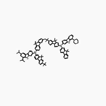 CC(C)c1cc(C(C)C)c2sc3cc(N(c4ccc5c(c4)C(C)(C)c4ccc(CC(C)(C)c6ccc7c(c6)C(C)(C)c6cc(N(c8ccc9c(c8)C(C)(C)c8ccccc8-9)c8ccc9c(c8)sc8c(C%10CCCCC%10)cccc89)ccc6-7)cc4-5)c4ccc5c(c4)C(C)(C)c4cc(C(C)(C)C)ccc4-5)ccc3c2c1